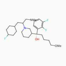 CNCC(CC1CCC(F)CC1)N1CCCC([C@](O)(CCCCOC)c2cccc(F)c2F)C1